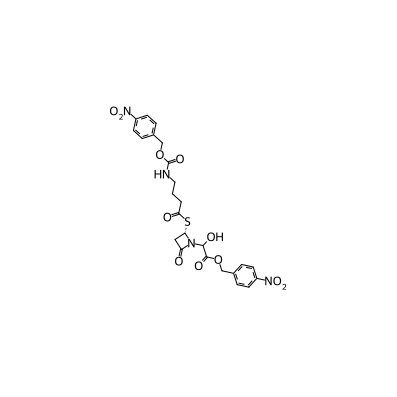 O=C(NCCCC(=O)S[C@H]1CC(=O)N1C(O)C(=O)OCc1ccc([N+](=O)[O-])cc1)OCc1ccc([N+](=O)[O-])cc1